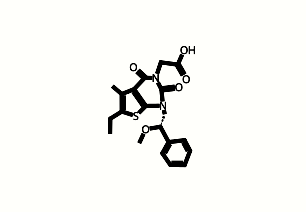 CCc1sc2c(c1C)c(=O)n(CC(=O)O)c(=O)n2C[C@@H](OC)c1ccccc1